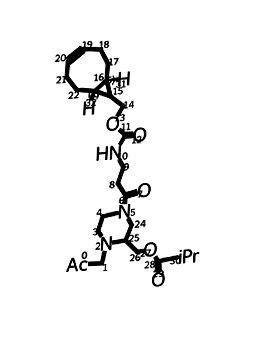 CC(=O)CN1CCN(C(=O)CCNC(=O)OCC2[C@H]3CCC#CCC[C@@H]23)CC1COC(=O)C(C)C